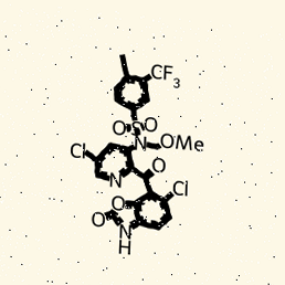 COCN(c1cc(Cl)cnc1C(=O)c1c(Cl)ccc2[nH]c(=O)oc12)S(=O)(=O)c1ccc(C)c(C(F)(F)F)c1